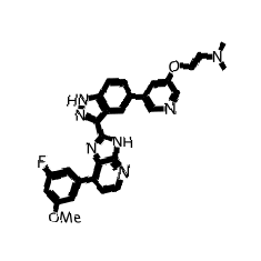 COc1cc(F)cc(-c2ccnc3[nH]c(-c4n[nH]c5ccc(-c6cncc(OCCN(C)C)c6)cc45)nc23)c1